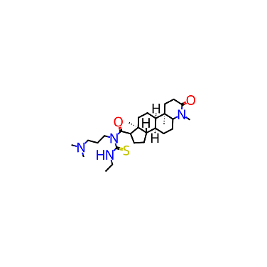 CCNC(=S)N(CCCN(C)C)C(=O)C1CC[C@H]2[C@@H]3CCC4N(C)C(=O)CC[C@]4(C)[C@@H]3CC[C@]12C